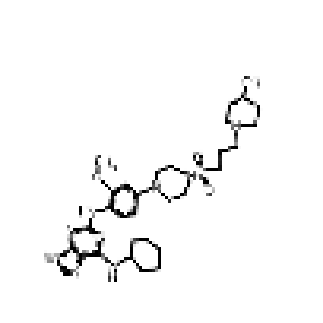 COc1cc(N2CCN(S(=O)(=O)CCCN3CCC(O)CC3)CC2)ccc1Nc1nc(NC2CCCCC2)c2nc[nH]c2n1